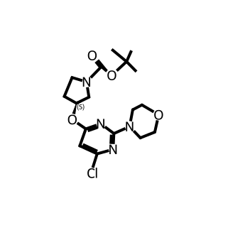 CC(C)(C)OC(=O)N1CC[C@H](Oc2cc(Cl)nc(N3CCOCC3)n2)C1